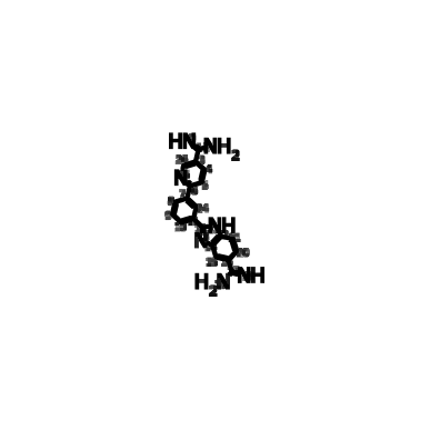 N=C(N)c1ccc(-c2cccc(-c3nc4cc(C(=N)N)ccc4[nH]3)c2)nc1